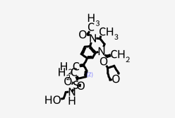 C=C(/C=C\C(=C)S(=O)(=O)NCCO)c1ccc2c(c1)N(C(=C)OC1CCOCC1)CC(C)N2C(C)=O